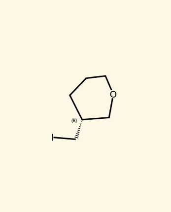 IC[C@@H]1CCCOC1